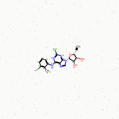 C#C[C@H]1O[C@@H](n2cnc3c(Nc4cccc(F)c4C)nc(Cl)nc32)[C@H](O)[C@@H]1O